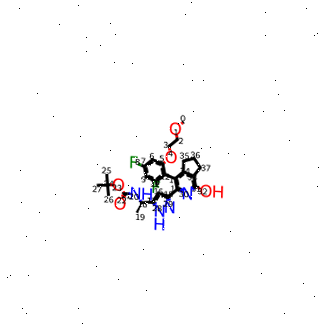 COCCOc1cc(F)cc(F)c1-c1c(-c2cc([C@@H](C)NC(=O)OC(C)(C)C)[nH]n2)nc(O)c2c1CCC2